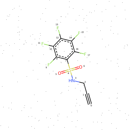 C#CCNS(=O)(=O)c1c(F)c(F)c(F)c(F)c1F